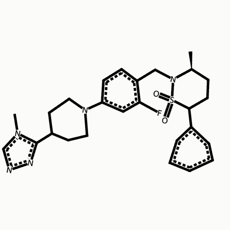 C[C@H]1CCC(c2ccccc2)S(=O)(=O)N1Cc1ccc(N2CCC(c3nncn3C)CC2)cc1F